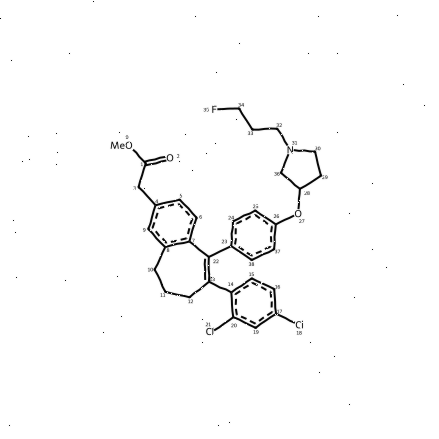 COC(=O)Cc1ccc2c(c1)CCCC(c1ccc(Cl)cc1Cl)=C2c1ccc(OC2CCN(CCCF)C2)cc1